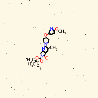 COc1ccc(OC2CCN(c3nc4c(cc3C)C(=O)N(C(=O)OC(C)(C)C)C4)CC2)cn1